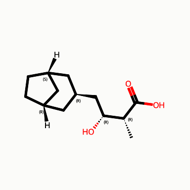 C[C@@H](C(=O)O)[C@H](O)C[C@H]1C[C@@H]2CC[C@@H](C2)C1